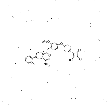 COc1cc(OC2CCN(c3c(O)c(=O)c3=O)CC2)ccc1CC(=O)N1CCN(c2ccccc2C)CC1C(N)=O